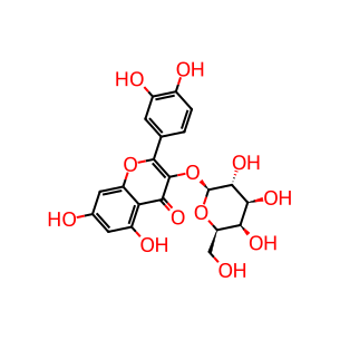 O=c1c(O[C@@H]2O[C@H](CO)[C@H](O)[C@H](O)[C@H]2O)c(-c2ccc(O)c(O)c2)oc2cc(O)cc(O)c12